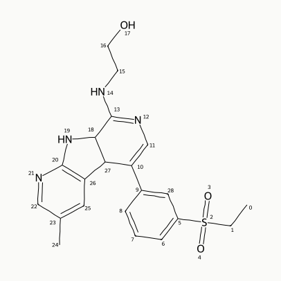 CCS(=O)(=O)c1cccc(C2=CN=C(NCCO)C3Nc4ncc(C)cc4C23)c1